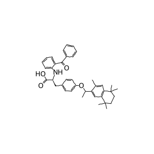 Cc1cc2c(cc1C(C)Oc1ccc(C[C@H](Nc3ccccc3C(=O)c3ccccc3)C(=O)O)cc1)C(C)(C)CCC2(C)C